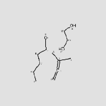 C=C=C(C)C.CCCCC[O].OCCO